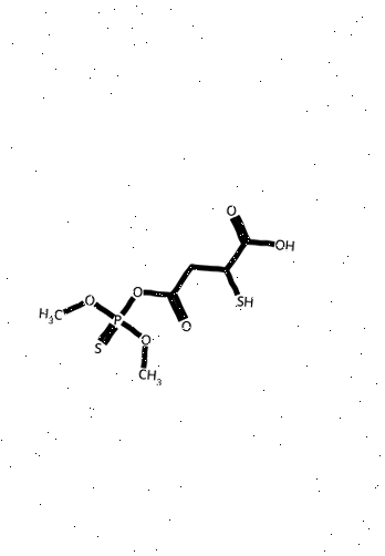 COP(=S)(OC)OC(=O)CC(S)C(=O)O